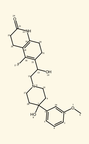 COc1cccc(C2(O)CCN(CC(O)C3=C(F)C4=C(CC3)NC(=O)CC4)CC2)c1